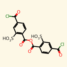 O=C(Cl)c1ccc(C(=O)OC(=O)c2ccc(C(=O)Cl)cc2S(=O)(=O)O)c(S(=O)(=O)O)c1